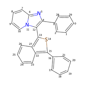 c1ccc(-c2nc3ccccn3c2-c2sc(-c3ccccc3)c3ccccc23)cc1